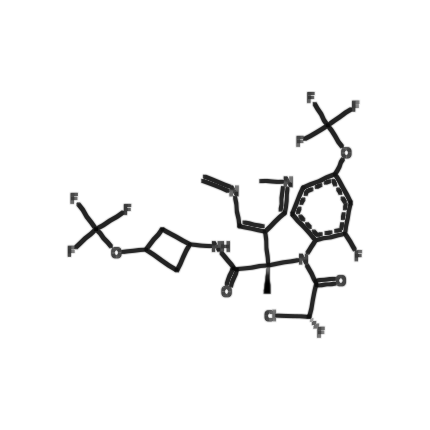 C=N/C=C(\C=N/C)[C@@](C)(C(=O)NC1CC(OC(F)(F)F)C1)N(C(=O)[C@H](F)Cl)c1ccc(OC(F)(F)F)cc1F